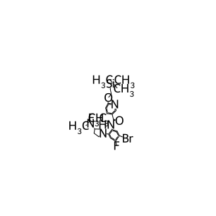 CN(C)[C@H]1CCN(c2cc(F)c(Br)cc2NC(=O)c2cnc(OCC[Si](C)(C)C)cc2C(F)(F)F)C1